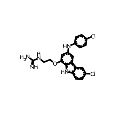 N=C(N)NCCOc1cc(Nc2ccc(Cl)cc2)cc2c1[nH]c1ccc(Cl)cc12